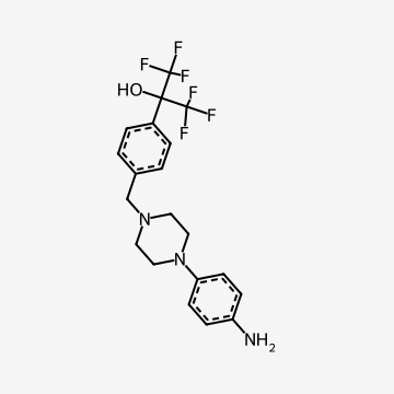 Nc1ccc(N2CCN(Cc3ccc(C(O)(C(F)(F)F)C(F)(F)F)cc3)CC2)cc1